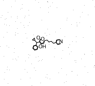 O=c1oc(CCCCc2ccncc2)cc(O)c1C(c1ccccc1)C1CC1